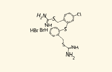 Br.Br.N=C(N)SCc1ccccc1Sc1cc(Cl)ccc1CSC(=N)N